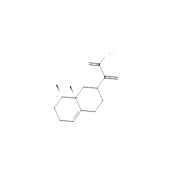 C=C(C(=O)O)C1CCC2=CCC[C@@H](C)[C@]2(C)C1